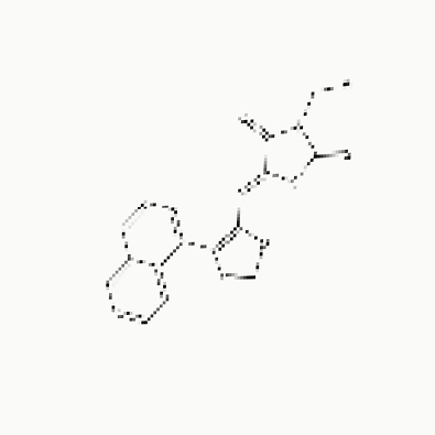 CC(=O)CN1C(=O)/C(=C/c2occc2-c2cccc3ccccc23)SC1=S